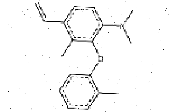 C=Cc1ccc(N(C)C)c(Oc2ccccc2C)c1C